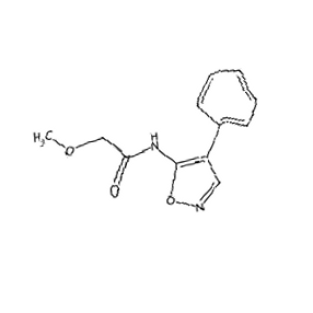 COCC(=O)Nc1oncc1-c1ccccc1